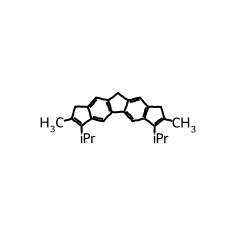 CC1=C(C(C)C)c2cc3c(cc2C1)Cc1cc2c(cc1-3)C(C(C)C)=C(C)C2